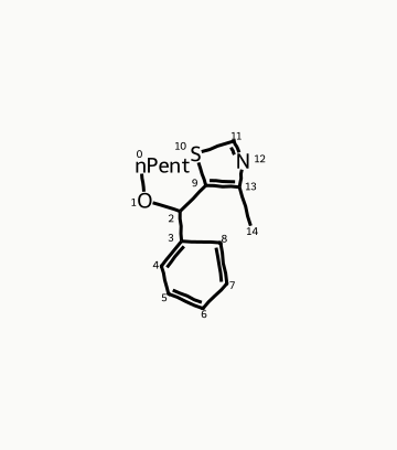 CCCCCOC(c1ccccc1)c1scnc1C